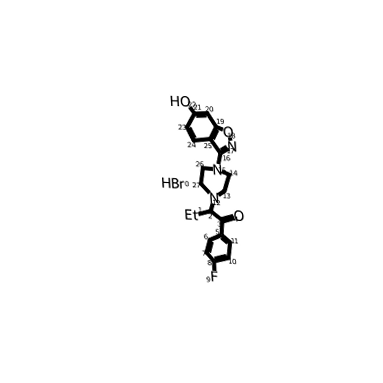 Br.CCC(C(=O)c1ccc(F)cc1)N1CCN(c2noc3cc(O)ccc23)CC1